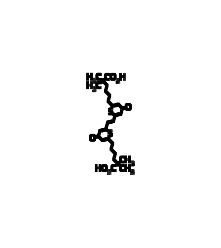 CC(C)(CCCCc1cc(=O)cc(/C=C/c2cc(=O)cc(CCCCC(C)(C)C(=O)O)s2)s1)C(=O)O